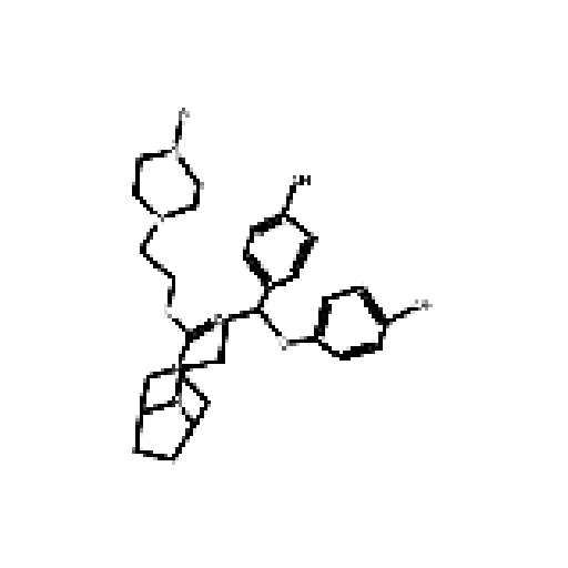 CC(=O)N1CCN(CCOC(=O)N2CC3CCC(C2)N3CCCC(Oc2ccc(O)cc2)c2ccc(C#N)cc2)CC1